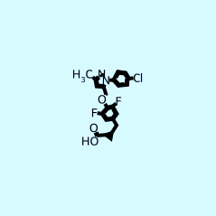 Cc1cc(COc2c(F)cc(CC3CC3C(=O)O)cc2F)n(-c2ccc(Cl)cc2)n1